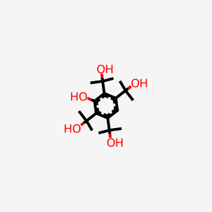 CC(C)(O)c1cc(C(C)(C)O)c(C(C)(C)O)c(O)c1C(C)(C)O